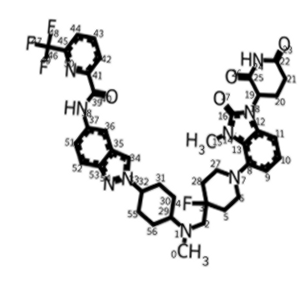 CN(CC1(F)CCN(c2cccc3c2n(C)c(=O)n3C2CCC(=O)NC2=O)CC1)C1CCC(n2cc3cc(NC(=O)c4cccc(C(F)(F)F)n4)ccc3n2)CC1